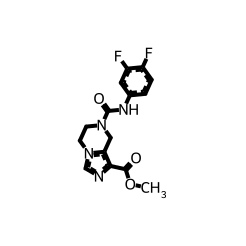 COC(=O)c1ncn2c1CN(C(=O)Nc1ccc(F)c(F)c1)CC2